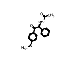 CSc1ccc(C(=O)/C(=N/OC(C)=O)c2ccccc2)cc1